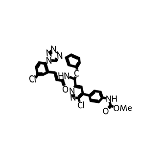 COC(=O)Nc1ccc(-c2cc(C(Cc3ccccc3)NC(=O)/C=C/c3cc(Cl)ccc3-n3cnnn3)nnc2Cl)cc1